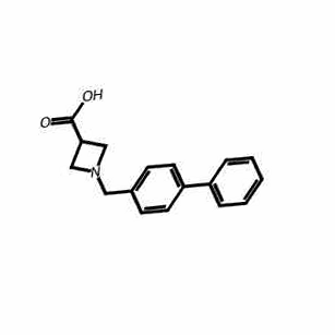 O=C(O)C1CN(Cc2ccc(-c3ccccc3)cc2)C1